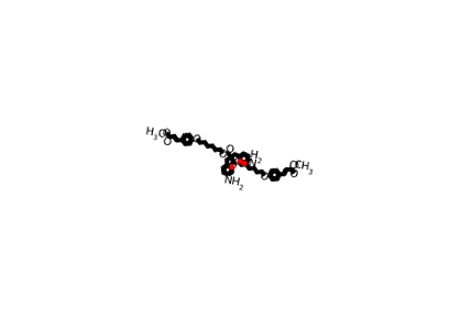 COC(=O)C=Cc1ccc(OCCCCCCOC(=O)C(Cc2ccc(N)cc2)(Cc2ccc(N)cc2)C(=O)OCCCCCCOc2ccc(C=CC(=O)OC)cc2)cc1